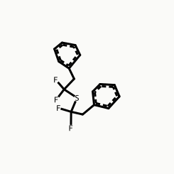 FC(F)(Cc1ccccc1)SC(F)(F)Cc1ccccc1